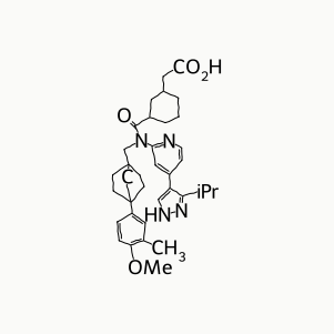 COc1ccc(C23CCC(CN(C(=O)C4CCCC(CC(=O)O)C4)c4cc(-c5c[nH]nc5C(C)C)ccn4)(CC2)CC3)cc1C